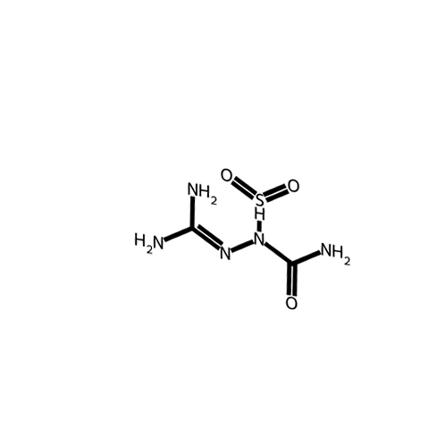 NC(=O)N(N=C(N)N)[SH](=O)=O